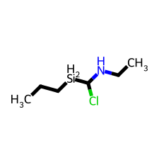 CCC[SiH2]C(Cl)NCC